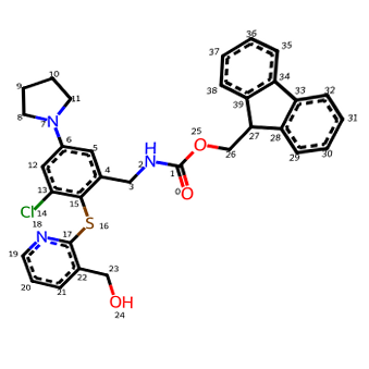 O=C(NCc1cc(N2CCCC2)cc(Cl)c1Sc1ncccc1CO)OCC1c2ccccc2-c2ccccc21